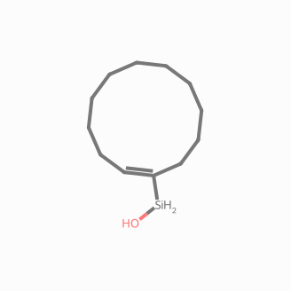 O[SiH2]C1=CCCCCCCCCCC1